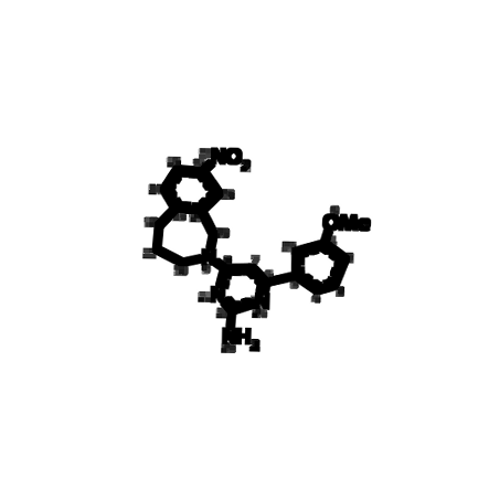 COc1cccc(-c2cc(N3CCCc4ccc([N+](=O)[O-])cc4C3)nc(N)n2)c1